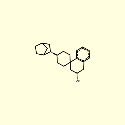 CC(=O)N1Cc2ccccc2C2(CCN([C@@H]3CC4CCC3C4)CC2)C1